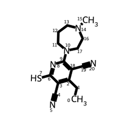 CCc1c(C#N)c(S)nc(N2CCCN(C)CC2)c1C#N